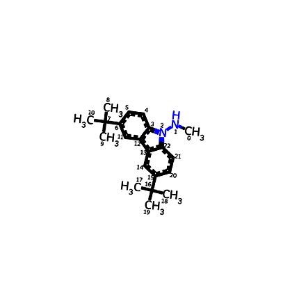 CNn1c2ccc(C(C)(C)C)cc2c2cc(C(C)(C)C)ccc21